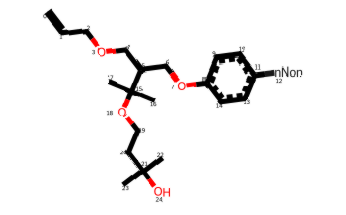 C=CCOCC(COc1ccc(CCCCCCCCC)cc1)C(C)(C)OCCC(C)(C)O